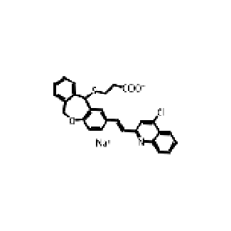 O=C([O-])CCSC1c2ccccc2COc2ccc(/C=C/c3cc(Cl)c4ccccc4n3)cc21.[Na+]